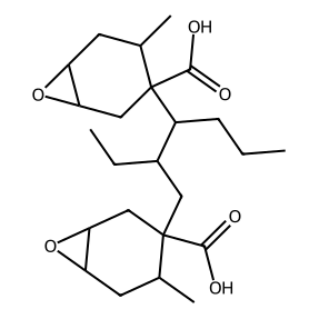 CCCC(C(CC)CC1(C(=O)O)CC2OC2CC1C)C1(C(=O)O)CC2OC2CC1C